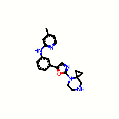 Cc1ccnc(Nc2cccc(-c3cnc(N4CCNCC45CC5)o3)c2)c1